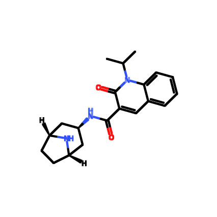 CC(C)n1c(=O)c(C(=O)N[C@@H]2C[C@H]3CC[C@@H](C2)N3)cc2ccccc21